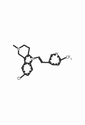 CN1CCc2c(c3cc(Cl)ccc3n2C=Cc2ccc(C(F)(F)F)nc2)C1